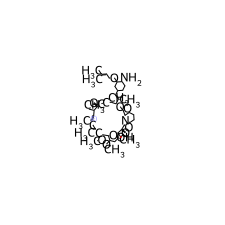 CCC1/C=C(\C)CC(C)CC(OC)C2OC(O)(C(=O)C(=O)N3CCCCC3C(=O)OC(C(C)=CC3CCC(N)C(OCC=C(C)C)C3)C(C)CCC1=O)C(C)CC2OC